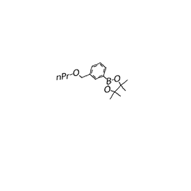 CCCOCc1cccc(B2OC(C)(C)C(C)(C)O2)c1